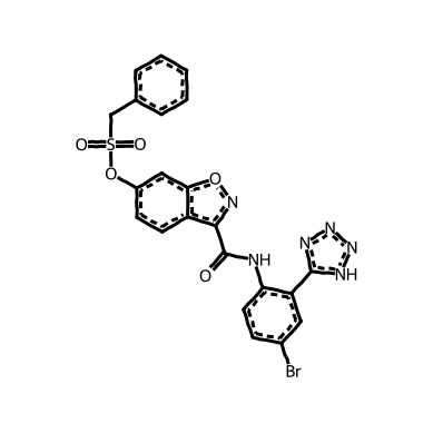 O=C(Nc1ccc(Br)cc1-c1nnn[nH]1)c1noc2cc(OS(=O)(=O)Cc3ccccc3)ccc12